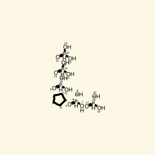 C1CCCC1.O=[PH](O)O.O=[PH](O)O.O=[PH](O)O.O=[PH](O)O.O=[PH](O)O